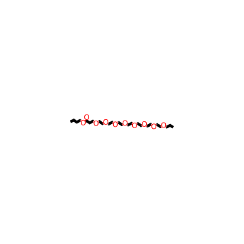 CCCCOC(=O)CCOCCOCCOCCOCCOCCOCCOCCOCCC